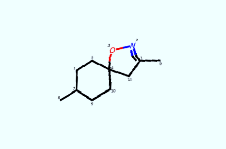 CC1=NOC2(CCC(C)CC2)C1